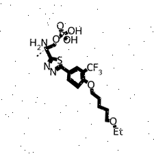 CCOCCCCCOc1ccc(-c2nnc([C@@](C)(N)COP(=O)(O)O)s2)cc1C(F)(F)F